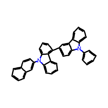 c1ccc(-n2c3ccccc3c3cc(-c4cccc5c4c4ccccc4n5-c4ccc5ccccc5c4)ccc32)cc1